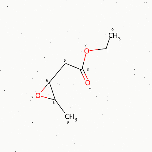 CCOC(=O)CC1OC1C